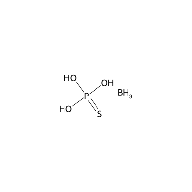 B.OP(O)(O)=S